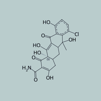 CC1(O)c2c(Cl)ccc(O)c2C(=O)C2=C(O)[C@]3(O)C(=O)C(C(N)=O)=C(O)CC3CC21